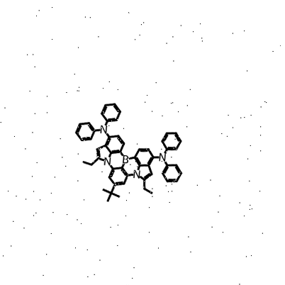 CCc1cc2c(N(c3ccccc3)c3ccccc3)ccc3c2n1-c1cc(C(C)(C)C)cc2c1B3c1ccc(N(c3ccccc3)c3ccccc3)c3cc(CC)n-2c13